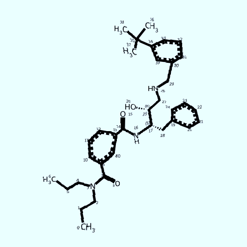 CCCN(CCC)C(=O)c1cccc(C(=O)N[C@@H](Cc2ccccc2)[C@H](O)CNCc2cccc(C(C)(C)C)c2)c1